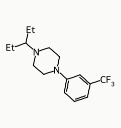 CCC(CC)N1CCN(c2cccc(C(F)(F)F)c2)CC1